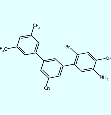 N#Cc1cc(-c2cc(C(F)(F)F)cc(C(F)(F)F)c2)cc(-c2cc(N)c(O)cc2Br)c1